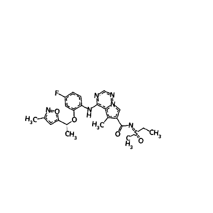 CCS(C)(=O)=NC(=O)c1cn2ncnc(Nc3ccc(F)cc3O[C@H](C)c3cc(C)no3)c2c1C